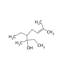 CCC(CC=C(C)C)C(C)(O)CC